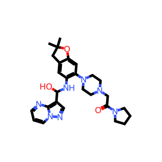 CC1(C)Cc2cc(NC(O)c3cnn4cccnc34)c(N3CCN(CC(=O)N4CCCC4)CC3)cc2O1